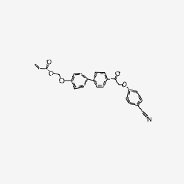 C=CC(=O)OCOc1ccc(-c2ccc(C(=O)COc3ccc(C#N)cc3)cc2)cc1